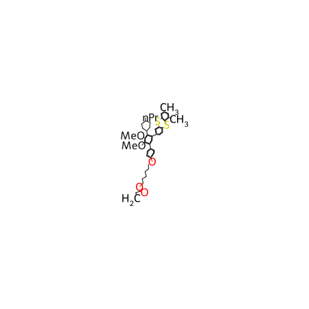 C=CC(=O)OCCCCCCOc1ccc(-c2cc(-c3ccc4c(c3)Sc3cc(C)cc(C)c3S4)c(C3CCC(CCC)CC3)c(OC)c2OC)cc1